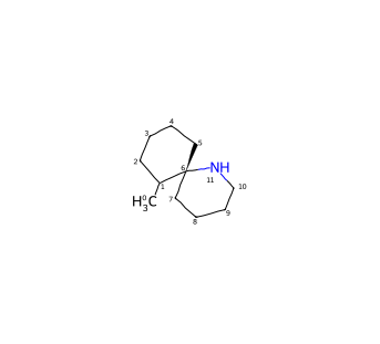 CC1CCCC[C@@]12CCCCN2